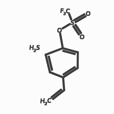 C=Cc1ccc(OS(=O)(=O)C(F)(F)F)cc1.S